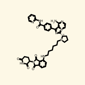 Nc1nccn2c([C@@H]3CCCN3CCCCCCNc3cccc4c3C(=O)N(C3CCC(=O)NC3=O)C4=O)nc(-c3ccc(C(=O)Nc4ccccn4)cc3)c12